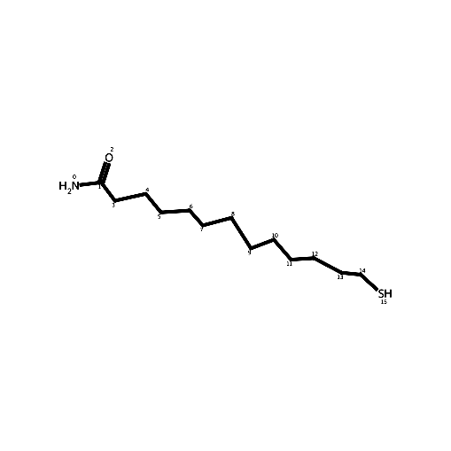 NC(=O)CCCCCCCCCCCCS